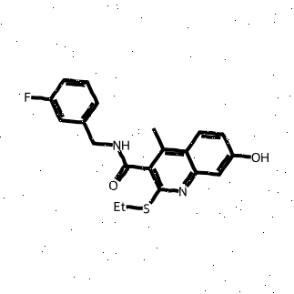 CCSc1nc2cc(O)ccc2c(C)c1C(=O)NCc1cccc(F)c1